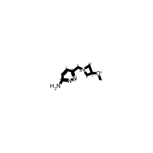 COC1CN(Cc2ccc(N)nn2)C1